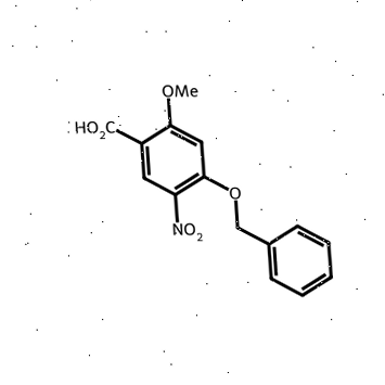 COc1cc(OCc2ccccc2)c([N+](=O)[O-])cc1C(=O)O